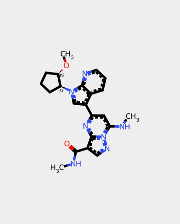 CNC(=O)c1cnn2c(NC)cc(-c3cn([C@H]4CCC[C@@H]4OC)c4ncccc34)nc12